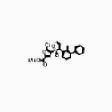 C=CC(c1cccc(-c2ccccc2)c1C)S(=O)(=O)c1cc(C(=O)OC)sc1Cl